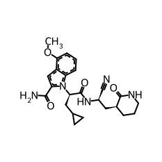 COc1cccc2c1cc(C(N)=O)n2[C@H](CC1CC1)C(=O)N[C@@H](C#N)C[C@@H]1CCCNC1=O